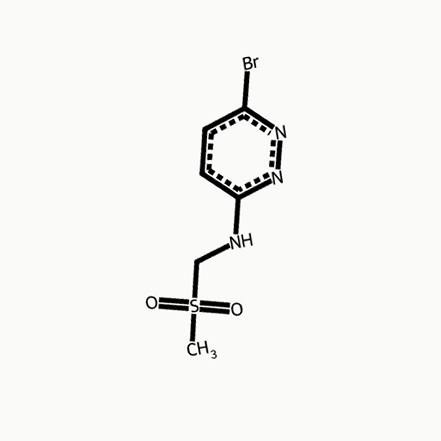 CS(=O)(=O)CNc1ccc(Br)nn1